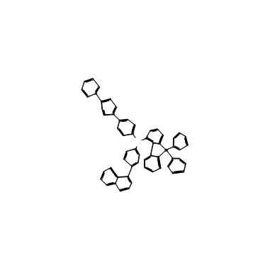 c1ccc(-c2ccc(-c3ccc(N(c4ccc(-c5cccc6ccccc56)cc4)c4cccc5c4-c4ccccc4C5(c4ccccc4)c4ccccc4)cc3)cc2)cc1